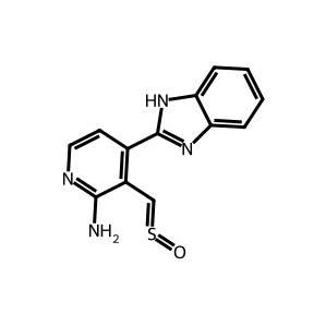 Nc1nccc(-c2nc3ccccc3[nH]2)c1C=S=O